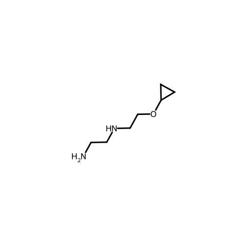 NCCNCCOC1CC1